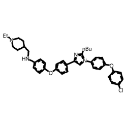 CCCCc1nc(-c2ccc(Oc3ccc(NCC4CCN(CC)CC4)cc3)cc2)cn1-c1ccc(Oc2ccc(Cl)cc2)cc1